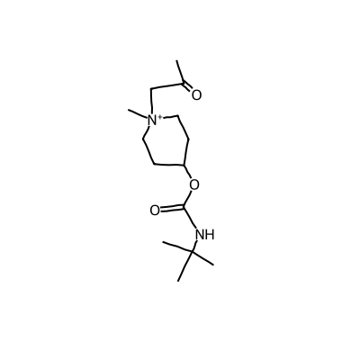 CC(=O)C[N+]1(C)CCC(OC(=O)NC(C)(C)C)CC1